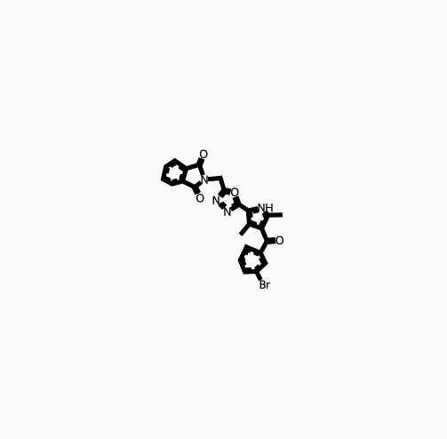 Cc1[nH]c(-c2nnc(CN3C(=O)c4ccccc4C3=O)o2)c(C)c1C(=O)c1cccc(Br)c1